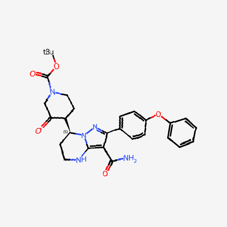 CC(C)(C)OC(=O)N1CCC([C@@H]2CCNc3c(C(N)=O)c(-c4ccc(Oc5ccccc5)cc4)nn32)C(=O)C1